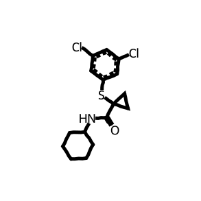 O=C(NC1CCCCC1)C1(Sc2cc(Cl)cc(Cl)c2)CC1